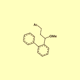 COC(CCC(C)=O)c1ccccc1-c1ccccc1